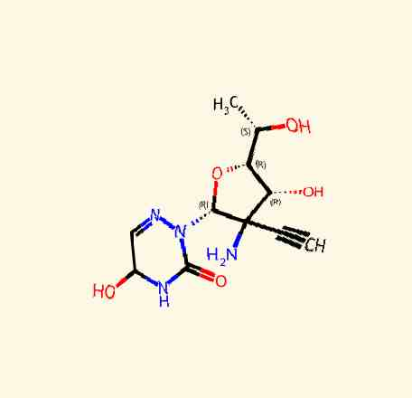 C#CC1(N)[C@@H](O)[C@@H]([C@H](C)O)O[C@H]1N1N=CC(O)NC1=O